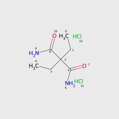 CCC(CC)(C(N)=O)C(N)=O.Cl.Cl